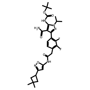 CC(C)n1nc(-c2ccc(CC(=O)Nc3cc(C4CC(C)(C)C4)no3)c(F)c2F)c(C(N)=O)c1NC(=O)OC(C)(C)C